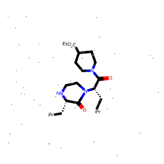 CCOC(=O)C1CCN(C(=O)[C@H](CC(C)C)N2CCN[C@@H](CC(C)C)C2=O)CC1